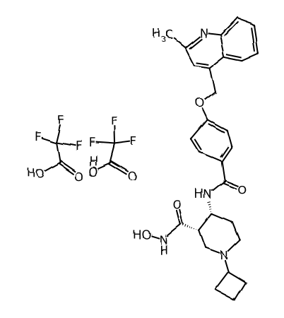 Cc1cc(COc2ccc(C(=O)N[C@@H]3CCN(C4CCC4)C[C@@H]3C(=O)NO)cc2)c2ccccc2n1.O=C(O)C(F)(F)F.O=C(O)C(F)(F)F